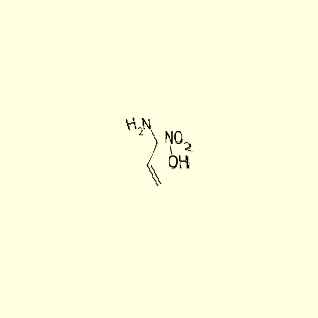 C=CCN.O=[N+]([O-])O